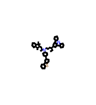 C=C/C(=C\C=C\N(C(=C)/C=C1\C(=C)c2ccccc2C1(C)C)c1ccc(-c2ccc3sc4ccccc4c3c2)cc1)c1cc2c3ccccc3n3c4ccccc4c(c1)c23